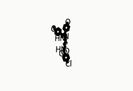 COc1ccc(-c2nc(SCCNS(=O)(=O)c3ccc(Cl)cc3)[nH]c2-c2ccc(OC)cc2)cc1